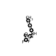 CN1CCN(C2CCN(c3ccc(Nc4cc(N5OCC[C@@H]5c5cc(F)cc(F)c5)ncn4)cc3)CC2)CC1